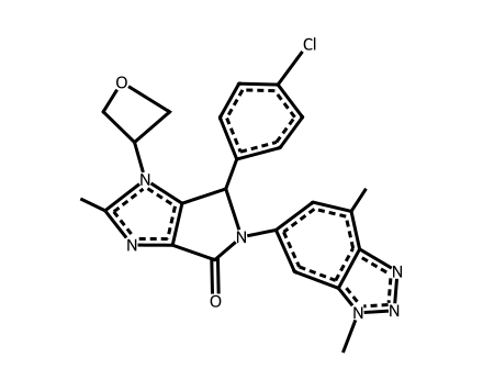 Cc1cc(N2C(=O)c3nc(C)n(C4COC4)c3C2c2ccc(Cl)cc2)cc2c1nnn2C